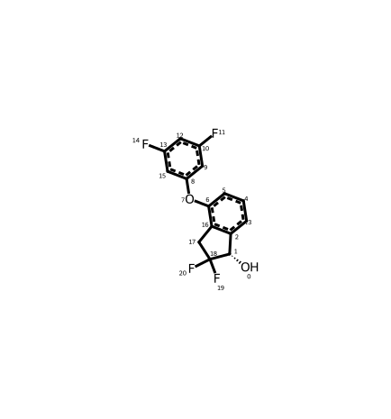 O[C@H]1c2[c]ccc(Oc3cc(F)cc(F)c3)c2CC1(F)F